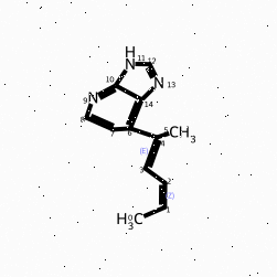 C/C=C\C=C(/C)c1ccnc2[nH]cnc12